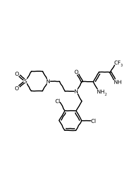 N=C(/C=C(\N)C(=O)N(CCN1CCS(=O)(=O)CC1)Cc1c(Cl)cccc1Cl)C(F)(F)F